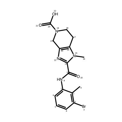 Cc1c(Br)cccc1NC(=O)c1nc2c(n1C)CCN(C(=O)O)C2